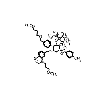 COCCCOCc1ccc([C@H]2[C@@H](OCc3ccc4c(c3)N(CCCOC)CCO4)CN(S(=O)(=O)c3ccc(C)cc3)C[C@H]2O[Si](C(C)C)(C(C)C)C(C)C)cc1